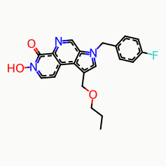 CCCOCc1cn(Cc2ccc(F)cc2)c2cnc3c(=O)n(O)ccc3c12